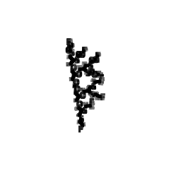 FCCSCC(COCC(COCOCC(COCC(CSOOF)SOOF)OCC(CSOOF)SOOF)OCC(CSCCF)SCCF)SCCF